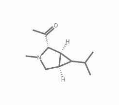 CC(=O)[C@@H]1[C@H]2C(C(C)C)[C@H]2CN1C